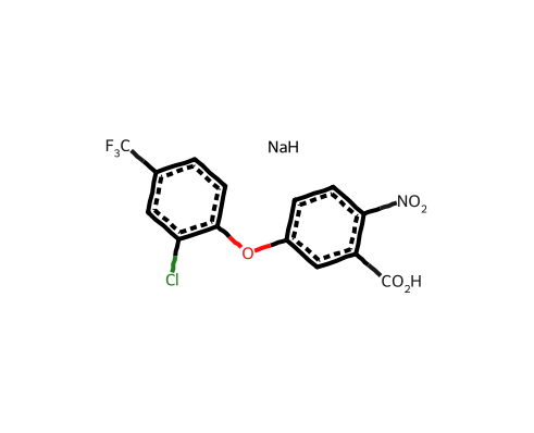 O=C(O)c1cc(Oc2ccc(C(F)(F)F)cc2Cl)ccc1[N+](=O)[O-].[NaH]